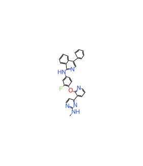 CNc1nccc(-c2cccnc2Oc2ccc(Nc3ncc(-c4ccccc4)c4ccccc34)cc2F)n1